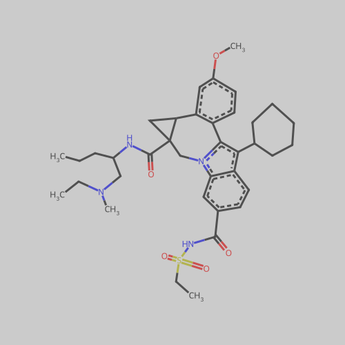 CCCC(CN(C)CC)NC(=O)C12CC1c1cc(OC)ccc1-c1c(C3CCCCC3)c3ccc(C(=O)NS(=O)(=O)CC)cc3n1C2